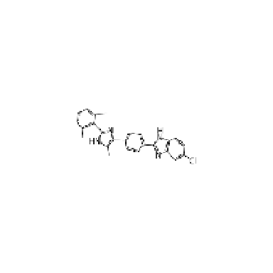 Cc1cccc(C)c1-c1nc(-c2ccc(-c3nc4cc(Cl)ccc4[nH]3)cc2)c(C)[nH]1